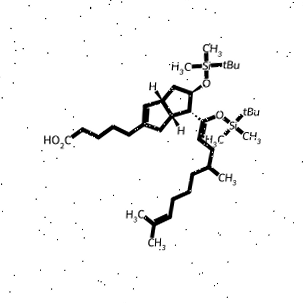 CC(C)=CCCCC(C)CC=C(O[Si](C)(C)C(C)(C)C)[C@@H]1[C@@H]2CC(CCCCC(=O)O)=C[C@@H]2C[C@H]1O[Si](C)(C)C(C)(C)C